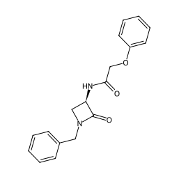 O=C(COc1ccccc1)N[C@@H]1CN(Cc2ccccc2)C1=O